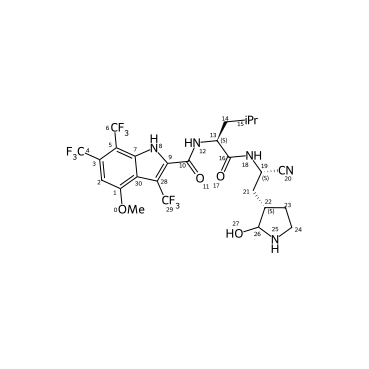 COc1cc(C(F)(F)F)c(C(F)(F)F)c2[nH]c(C(=O)N[C@@H](CC(C)C)C(=O)N[C@H](C#N)C[C@@H]3CCNC3O)c(C(F)(F)F)c12